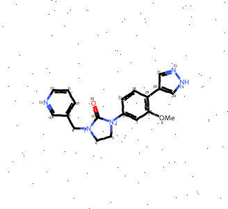 COc1cc(N2CCN(Cc3cccnc3)C2=O)ccc1-c1cn[nH]c1